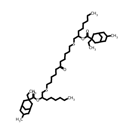 CCCCCCC(CSCCCCCC(=O)CCCCCSCC(CCCCCC)OC(=O)C1(CC)CC2CC(C)CC(C2)C1)OC(=O)C1(CC)CC2CC(C)CC(C2)C1